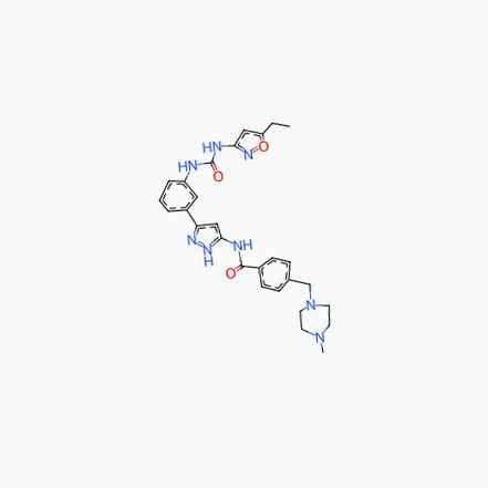 CCc1cc(NC(=O)Nc2cccc(-c3cc(NC(=O)c4ccc(CN5CCN(C)CC5)cc4)[nH]n3)c2)no1